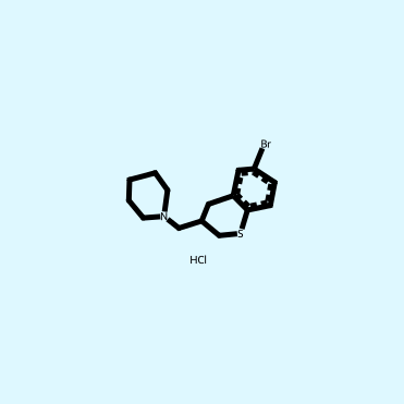 Brc1ccc2c(c1)CC(CN1CCCCC1)CS2.Cl